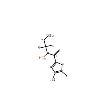 C=C(C1=CC(CC)=C(C)C1)C(S)C(C)(C)CC(C)(C)C